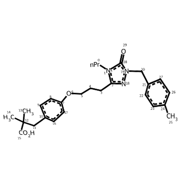 CCCn1c(CCCOc2ccc(CC(C)(C)C(=O)O)cc2)nn(Cc2ccc(C)cc2)c1=O